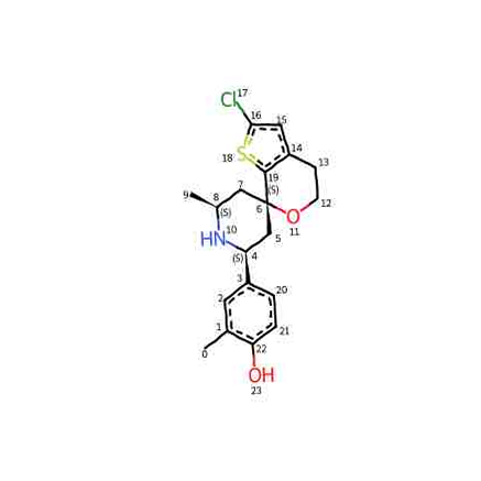 Cc1cc([C@@H]2C[C@]3(C[C@H](C)N2)OCCc2cc(Cl)sc23)ccc1O